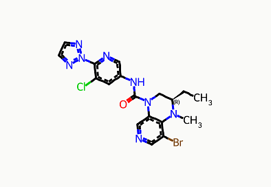 CC[C@@H]1CN(C(=O)Nc2cnc(-n3nccn3)c(Cl)c2)c2cncc(Br)c2N1C